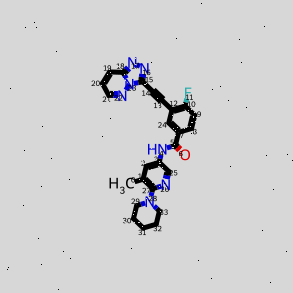 Cc1cc(NC(=O)c2ccc(F)c(C#Cc3nnc4cccnn34)c2)cnc1N1CCCCC1